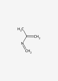 C=NC(=C)C